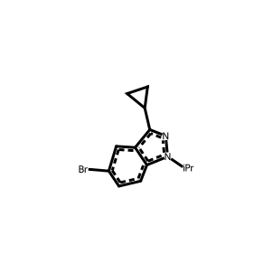 CC(C)n1nc(C2CC2)c2cc(Br)ccc21